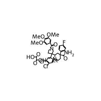 CCN1CCC(C(N)=O)(c2ccc(F)cc2)CC1C1(c2ccc(Cl)c(Cl)c2)CCN(C(=O)c2cc(OC)c(OC)c(OC)c2)C1.O=C(O)C(=O)O